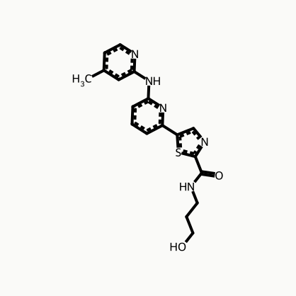 Cc1ccnc(Nc2cccc(-c3cnc(C(=O)NCCCO)s3)n2)c1